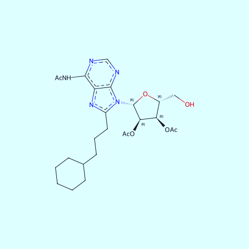 CC(=O)Nc1ncnc2c1nc(CCCC1CCCCC1)n2[C@@H]1O[C@H](CO)[C@@H](OC(C)=O)[C@H]1OC(C)=O